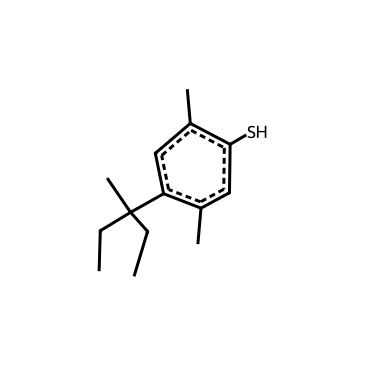 CCC(C)(CC)c1cc(C)c(S)cc1C